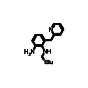 CC(C)(C)CNc1c(N)cccc1Cc1ccccn1